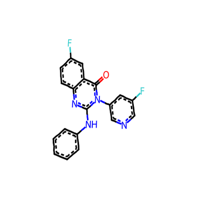 O=c1c2cc(F)ccc2nc(Nc2ccccc2)n1-c1cncc(F)c1